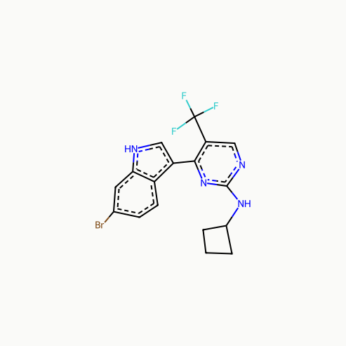 FC(F)(F)c1cnc(NC2CCC2)nc1-c1c[nH]c2cc(Br)ccc12